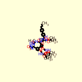 CCCCc1ccc(-c2ccc(C(=O)N[C@@H](CNC(=O)OC(C)(C)C)C(=O)N(C)[C@@H]3C(=O)N[C@@H](C)C(=O)N[C@H](c4nsc(=O)[nH]4)Cc4ccc(OCCNC(=O)OC(C)(C)C)c(c4)-c4cc3ccc4OCCNC(=O)OC(C)(C)C)cc2)cc1